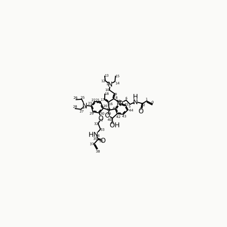 C=CC(=O)NCCOC(=C/CN(CC)CC)/C(=C\C)C1(c2ccc(N(CC)CC)cc2OCCNC(=O)C=C)OC(O)c2cccnc21